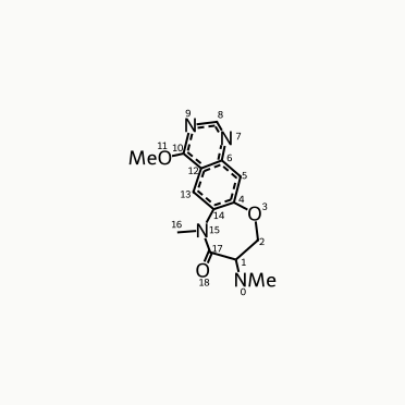 CNC1COc2cc3ncnc(OC)c3cc2N(C)C1=O